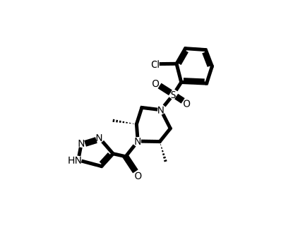 C[C@@H]1CN(S(=O)(=O)c2ccccc2Cl)C[C@H](C)N1C(=O)c1c[nH]nn1